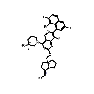 CCc1c(F)ccc2cc(O)cc(-c3ncc4c(N5CCC[C@@](C)(O)C5)nc(OC[C@@]56CCCN5/C(=C/O)CC6)nc4c3F)c12